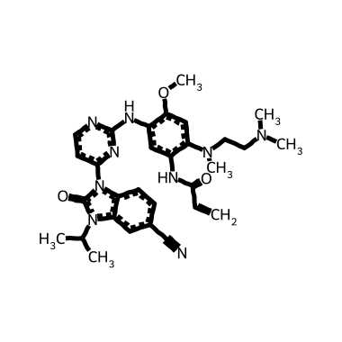 C=CC(=O)Nc1cc(Nc2nccc(-n3c(=O)n(C(C)C)c4cc(C#N)ccc43)n2)c(OC)cc1N(C)CCN(C)C